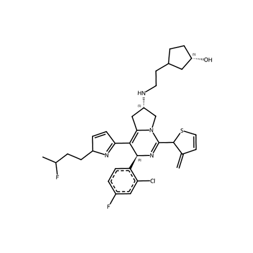 C=C1C=CSC1C1=N[C@@H](c2ccc(F)cc2Cl)C(C2=NC(CCC(C)F)C=C2)=C2C[C@H](NCCC3CC[C@H](O)C3)CN12